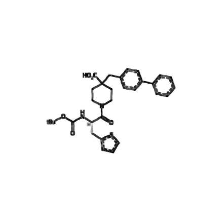 CC(C)(C)OC(=O)N[C@@H](Cc1cccs1)C(=O)N1CCC(Cc2ccc(-c3ccccc3)cc2)(C(=O)O)CC1